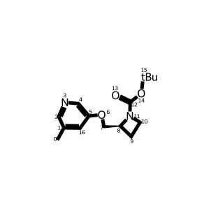 Cc1cncc(OC[C@@H]2CCN2C(=O)OC(C)(C)C)c1